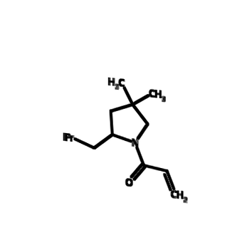 C=CC(=O)N1CC(C)(C)CC1CC(C)C